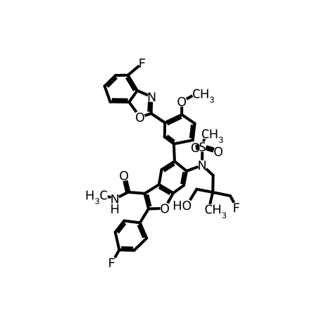 CNC(=O)c1c(-c2ccc(F)cc2)oc2cc(N(CC(C)(CO)CF)S(C)(=O)=O)c(-c3ccc(OC)c(-c4nc5c(F)cccc5o4)c3)cc12